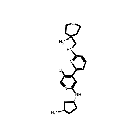 N[C@@H]1CC[C@@H](Nc2cc(-c3cccc(NCC4(N)CCOCC4)n3)c(Cl)cn2)C1